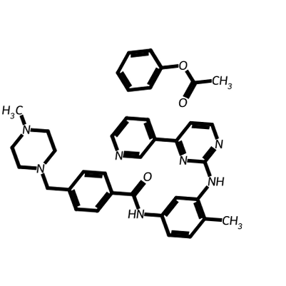 CC(=O)Oc1ccccc1.Cc1ccc(NC(=O)c2ccc(CN3CCN(C)CC3)cc2)cc1Nc1nccc(-c2cccnc2)n1